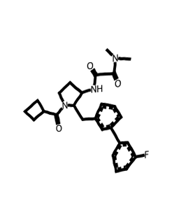 CN(C)C(=O)C(=O)NC1CCN(C(=O)C2CCC2)C1Cc1cccc(-c2cccc(F)c2)c1